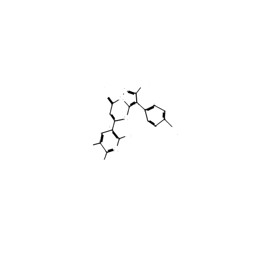 Cc1nn2c(=O)cc(-c3cc(F)c(Cl)nc3Cl)[nH]c2c1-c1ccc(F)cc1